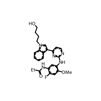 CCC(=O)Nc1cc(Nc2nccc(-c3cn(CCCCO)c4ccccc34)n2)c(OC)cc1F